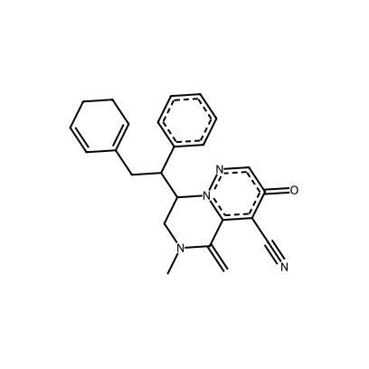 C=C1c2c(C#N)c(=O)cnn2C(C(CC2=CCCC=C2)c2ccccc2)CN1C